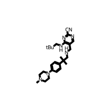 CN1CCN(c2ccc(C(C)(C)CNCc3cnc(C#N)nc3NCC(C)(C)C)cc2)CC1